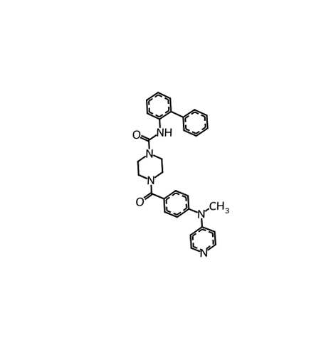 CN(c1ccncc1)c1ccc(C(=O)N2CCN(C(=O)Nc3ccccc3-c3ccccc3)CC2)cc1